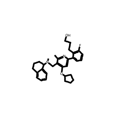 Cc1nc(-c2cccc(F)c2CCCO)cc(OC2CCCC2)c1CN(C)C1CCCc2ccccc21